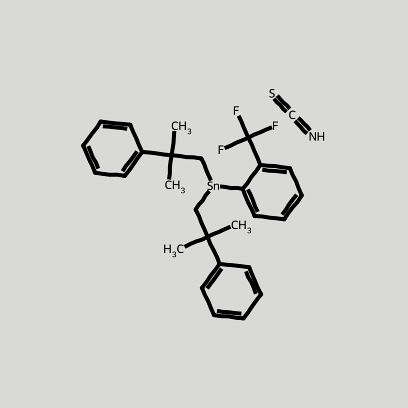 CC(C)([CH2][Sn]([CH2]C(C)(C)c1ccccc1)[c]1ccccc1C(F)(F)F)c1ccccc1.N=C=S